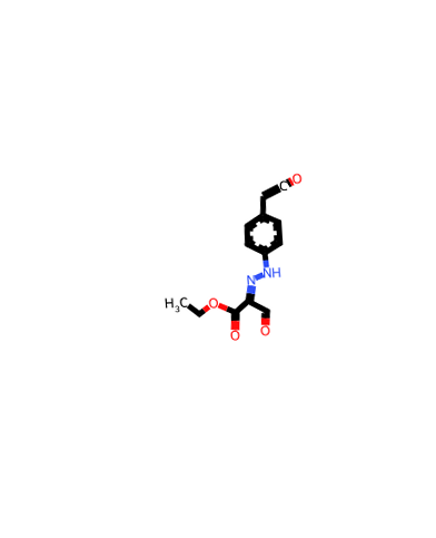 CCOC(=O)/C(C=O)=N/Nc1ccc(C=C=O)cc1